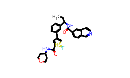 CCC(NC(=O)c1ccc2cnccc2c1)c1cccc(C2=C[SH](F)C(C(=O)NC3CCOCC3)=C2)c1